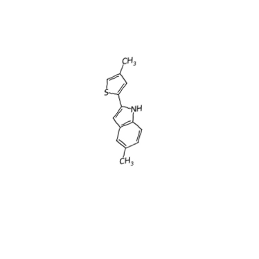 Cc1csc(-c2cc3cc(C)ccc3[nH]2)c1